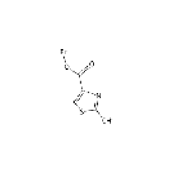 [CH]c1nc(C(=O)OCC)cs1